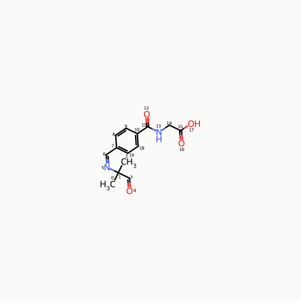 CC(C)(C=O)/N=C\c1ccc(C(=O)NCC(=O)O)cc1